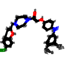 O=C(CO[C@H]1CC[C@H](Nc2ccc([N+](=O)[O-])c(C(F)(F)F)c2)CC1)N1CCN(CC2Cc3cc(Cl)ccc3O2)CC1